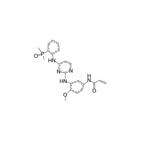 C=CC(=O)Nc1ccc(OC)c(Nc2nccc(Nc3ccccc3P(C)(C)=O)n2)c1